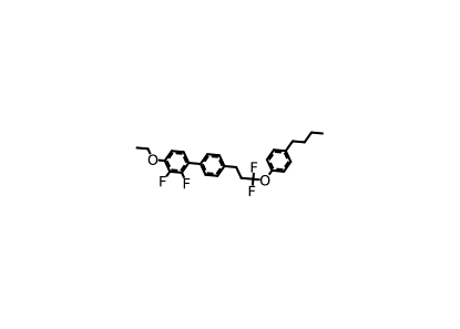 CCCCc1ccc(OC(F)(F)CCc2ccc(-c3ccc(OCC)c(F)c3F)cc2)cc1